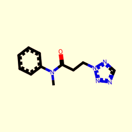 CN(C(=O)CCn1ncnn1)c1ccccc1